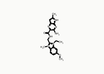 CCn1c(CNC(=O)c2nc3cc(C)[nH]c3nc2N)[n+](C)c2ccc(OC)cc21